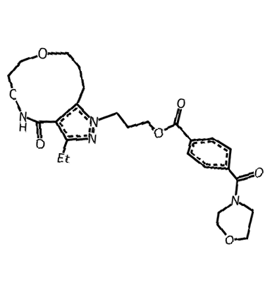 CCc1nn(CCCOC(=O)c2ccc(C(=O)N3CCOCC3)cc2)c2c1C(=O)NCCCOCCC2